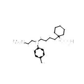 CNCCN(CCCCC1(C(=O)O)CCCCC1)c1ccc(C)cc1